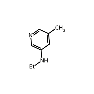 CCNc1cncc(C)c1